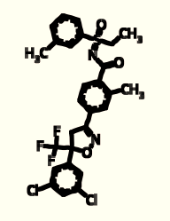 CCS(=O)(=NC(=O)c1ccc(C2=NOC(c3cc(Cl)cc(Cl)c3)(C(F)(F)F)C2)cc1C)c1cccc(C)c1